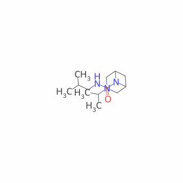 CC(C)CNC(=O)N1C2CC1CN(C(C)C)C2